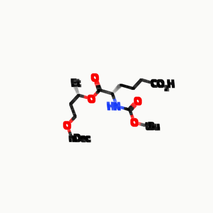 CCCCCCCCCCOCC[C@H](CC)OC(=O)[C@H](CCCC(=O)O)NC(=O)OC(C)(C)C